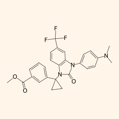 COC(=O)c1cccc(C2(n3c(=O)n(-c4ccc(N(C)C)cc4)c4cc(C(F)(F)F)ccc43)CC2)c1